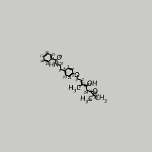 C/C(=C\COc1ccc(CCNC(=O)c2ccccc2)cc1)C(O)CC1OC1(C)C